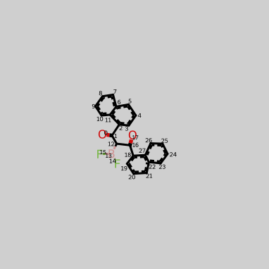 O=C(c1cccc2ccccc12)C(B(F)F)C(=O)c1cccc2ccccc12